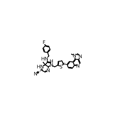 C=C(NCc1ccc(F)cc1)C1(C)N[C@@H](C#N)C=NC1NCC1=CC[C@@H](c2ccc3ncc4ncn(C)c4c3c2)S1